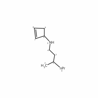 CCCC(C)CCNC1C=CC1